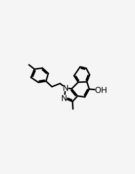 Cc1ccc(CCn2nc(C)c3cc(O)c4ccccc4c32)cc1